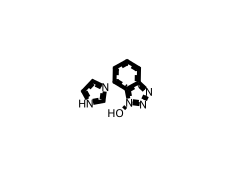 On1nnc2ccccc21.c1c[nH]cn1